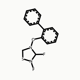 FC1N(Oc2ccccc2-c2ccccc2)CSN1F